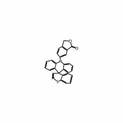 O=C1OCc2ccc(N3c4ccccc4C4(c5ccccc5Sc5ccccc54)c4ccccc43)cc21